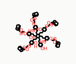 CC1(OC(=O)COc2ccc(CCc3c(CCc4ccc(O)cc4)c(CCc4ccc(OCC(=O)OC5(C)C6CC7CC(C6)CC5C7)cc4O)c(CCc4ccc(OCC(=O)OC5(C)C6CC7CC(C6)CC5C7)cc4O)c(CCc4ccc(OCC(=O)OC5(C)C6CC7CC(C6)CC5C7)cc4O)c3CCc3ccc(OCC(=O)OC4(C)C5CC6CC(C5)CC4C6)cc3O)c(O)c2)C2CC3CC(C2)CC1C3